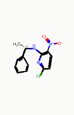 C[C@H](Nc1nc(Cl)ccc1[N+](=O)[O-])c1ccccc1